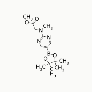 COC(=O)CN(C)c1ncc(B2OC(C)(C)C(C)(C)O2)cn1